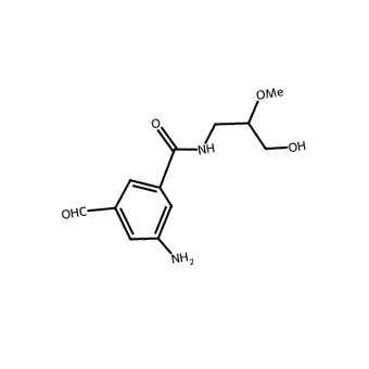 COC(CO)CNC(=O)c1cc(N)cc(C=O)c1